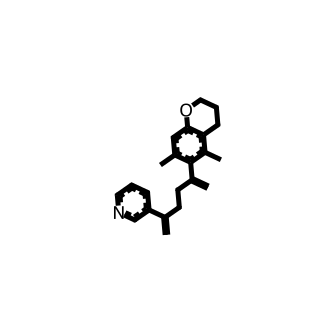 C=C(CCC(=C)c1c(C)cc2c(c1C)CCCO2)c1cccnc1